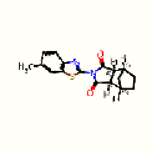 Cc1ccc2nc(N3C(=O)[C@@H]4[C@@H]5CC[C@@H](C5)[C@@H]4C3=O)sc2c1